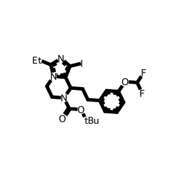 CCc1nc(I)c2n1CCN(C(=O)OC(C)(C)C)C2CCc1cccc(OC(F)F)c1